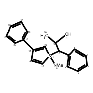 CNS1(C(c2ccccc2)C(C)O)C=CC(c2ccccc2)=C1